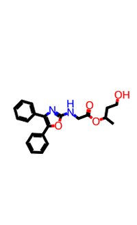 CC(CCO)OC(=O)CNc1nc(-c2ccccc2)c(-c2ccccc2)o1